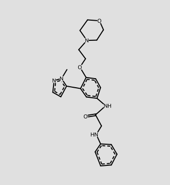 Cn1nccc1-c1cc(NC(=O)CNc2ccccc2)ccc1OCCN1CCOCC1